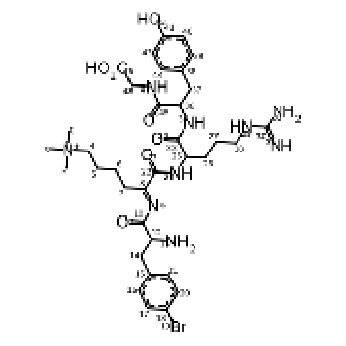 C[N+](C)(C)CCCC/C(=N\C(=O)C(N)Cc1ccc(Br)cc1)C(=O)NC(CCCNC(=N)N)C(=O)NC(Cc1ccc(O)cc1)C(=O)NCC(=O)O